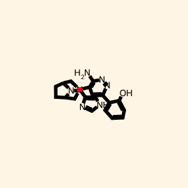 Nc1nnc(-c2ccccc2O)cc1N1CC2CCC(C1)N2Cc1c[nH]cn1